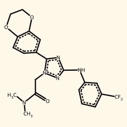 CN(C)C(=O)Cn1nc(Nc2cccc(C(F)(F)F)c2)nc1-c1ccc2c(c1)OCCO2